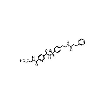 O=C(O)CNC(=O)c1ccc(C(=O)NS(=O)(=O)c2ccc(CCNC(=O)CCc3ccccc3)cc2)cn1